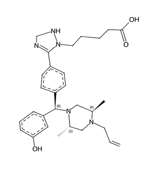 C=CCN1C[C@H](C)N([C@H](c2ccc(C3=NCNN3CCCCC(=O)O)cc2)c2cccc(O)c2)C[C@H]1C